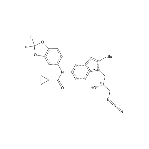 CC(C)(C)c1cc2cc(N(C(=O)C3CC3)c3ccc4c(c3)OC(F)(F)O4)ccc2n1C[C@@H](O)CN=[N+]=[N-]